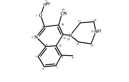 CCCOc1nc2cccc(C)c2c(N2CCNCC2)c1C#N